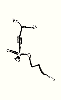 CCC(C#CS(=O)(=O)OCCCN)CC